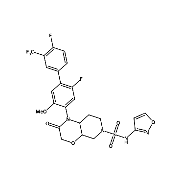 COc1cc(-c2ccc(F)c(C(F)(F)F)c2)c(F)cc1N1C(=O)COC2CN(S(=O)(=O)Nc3ccon3)CCC21